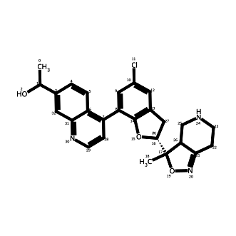 CC(O)c1ccc2c(-c3cc(Cl)cc4c3O[C@@H](C3(C)ON=C5CCNCC53)C4)ccnc2c1